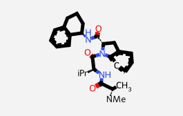 CN[C@@H](C)C(=O)N[C@H](C(=O)N1c2ccccc2C[C@H]1C(=O)N[C@@H]1CCCc2ccccc21)C(C)C